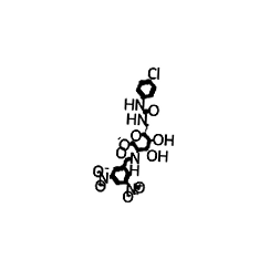 COC1O[C@H](CNC(=O)Nc2ccc(Cl)cc2)[C@@H](O)[C@H](O)[C@H]1NC(=O)c1cc([N+](=O)[O-])cc([N+](=O)[O-])c1